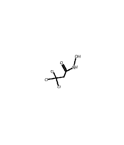 O=C(CC(Cl)(Cl)Cl)NO